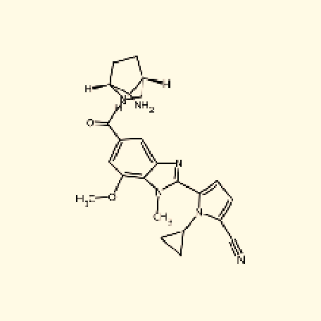 COc1cc(C(=O)N2C[C@H]3CC[C@@H]2[C@@H]3N)cc2nc(-c3ccc(C#N)n3C3CC3)n(C)c12